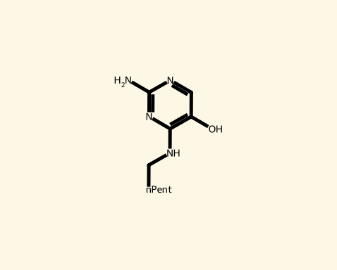 CCCCCCNc1nc(N)ncc1O